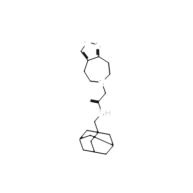 O=C(CN1CCc2conc2CC1)NCC12CC3CC(CC(C3)C1)C2